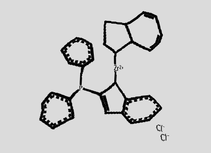 C1=CC2CC[CH]([Zr+2][CH]3C(P(c4ccccc4)c4ccccc4)=Cc4ccccc43)C2C=C1.[Cl-].[Cl-]